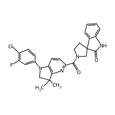 CC1(C)CN(c2ccc(Cl)c(F)c2)c2ccc(C(=O)N3CCC4(C3)C(=O)Nc3ccccc34)nc21